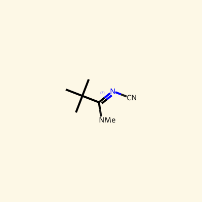 CN/C(=N\C#N)C(C)(C)C